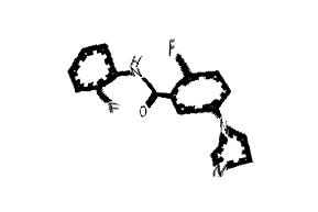 O=C(Nc1ccccc1F)c1cc(-n2ccnc2)ccc1F